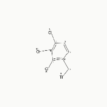 Clc1ccc([CH2][Ti])c(Cl)c1Cl